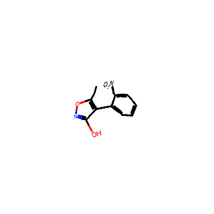 Cc1onc(O)c1-c1ccccc1[N+](=O)[O-]